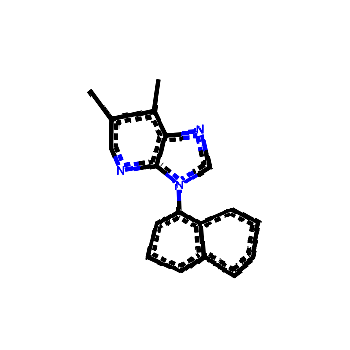 Cc1cnc2c(ncn2-c2cccc3ccccc23)c1C